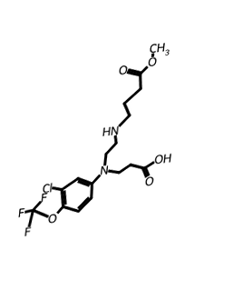 COC(=O)CCCNCCN(CCC(=O)O)c1ccc(OC(F)(F)F)c(Cl)c1